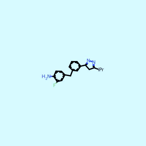 CC(C)C1=NN=C(c2cccc(Cc3ccc(N)c(F)c3)c2)C1